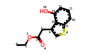 CCOC(=O)Cc1csc2cccc(O)c12